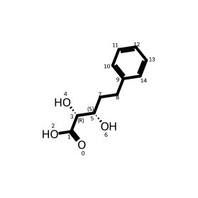 O=C(O)[C@H](O)[C@@H](O)CCc1ccccc1